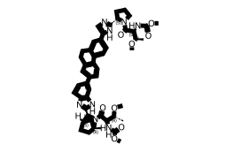 COC(=O)NC(C(=O)N1[C@@H]2CC[C@@H](C2)[C@H]1c1nc2ccc(-c3ccc4c(c3)CCc3cc(-c5cnc([C@@H]6CCCN6C(=O)[C@@H](NC(=O)OC)[C@@H](C)OC)[nH]5)ccc3-4)cc2[nH]1)[C@@H](C)OC